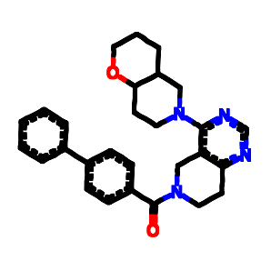 O=C(c1ccc(-c2ccccc2)cc1)N1CCc2ncnc(N3CCC4OCCCC4C3)c2C1